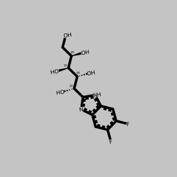 OC[C@@H](O)[C@H](O)[C@H](O)[C@@H](O)c1nc2cc(F)c(F)cc2[nH]1